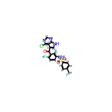 O=C(c1c(F)ccc(NS(=O)(=O)c2ccc(CF)cc2)c1F)c1c[nH]c2ncnc(Cl)c12